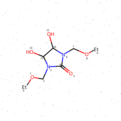 CCOCN1C(=O)N(COCC)C(O)C1O